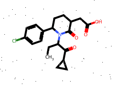 CCC(C(=O)C1CC1)N1C(=O)C(CC(=O)O)CCC1c1ccc(Cl)cc1